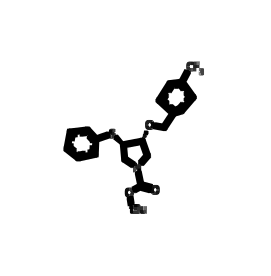 CC(C)(C)OC(=O)N1C[C@@H](OCc2ccc(C(F)(F)F)cc2)[C@H](Sc2ccccc2)C1